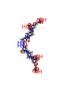 COc1cc(NC(=O)Nc2cc(OC)c(N=Nc3cc(C)c(N=Nc4ccc(OCCCS(=O)(=O)O)cc4S(=O)(=O)O)cc3C)cc2C)c(C)cc1N=Nc1cc(C)c(N=Nc2ccc(OCCCS(=O)(=O)O)cc2S(=O)(=O)O)cc1C